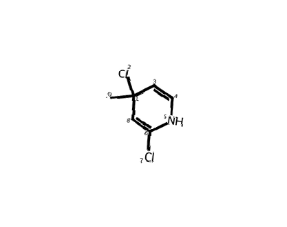 [CH2]C1(Cl)C=CNC(Cl)=C1